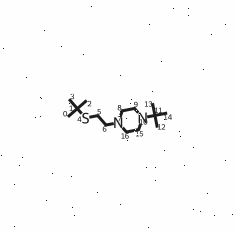 CC(C)(C)SCCN1CCN(C(C)(C)C)CC1